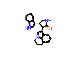 O=C1NC[C@@H](c2c[nH]c3ccccc23)[C@@H]1c1cn2c3c(cccc13)CCC2